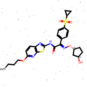 CNCCCOc1ccc2nc(NC(=O)/C(=N/O[C@@H]3CC[C@@H](O)C3)c3ccc(S(=O)(=O)C4CC4)cc3)sc2n1